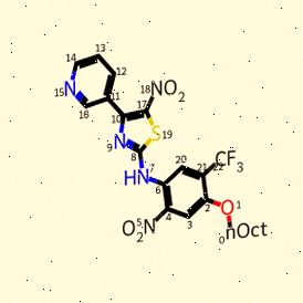 CCCCCCCCOc1cc([N+](=O)[O-])c(Nc2nc(-c3cccnc3)c([N+](=O)[O-])s2)cc1C(F)(F)F